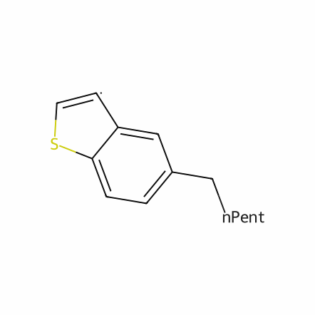 CCCCCCc1ccc2sc[c]c2c1